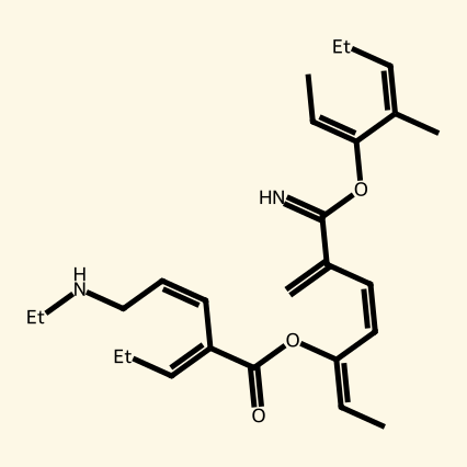 C=C(/C=C\C(=C/C)OC(=O)C(/C=C\CNCC)=C/CC)C(=N)OC(=C/C)/C(C)=C\CC